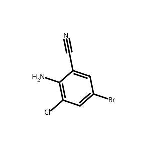 N#Cc1cc(Br)cc(Cl)c1N